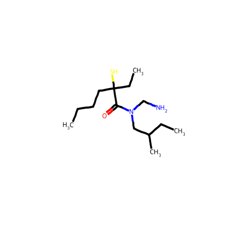 CCCCC(S)(CC)C(=O)N(CN)CC(C)CC